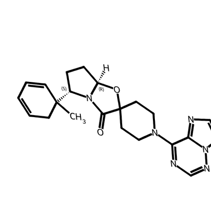 CC1([C@@H]2CC[C@H]3OC4(CCN(c5ncnn6ccnc56)CC4)C(=O)N23)C=CC=CC1